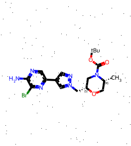 C[C@@H]1CO[C@H](Cn2cc(-c3cnc(N)c(Br)n3)cn2)CN1C(=O)OC(C)(C)C